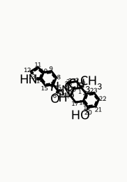 CC12CCN(C(=O)c3ccc4cc[nH]c4c3)[C@H](Cc3c(O)cccc31)C2(C)C